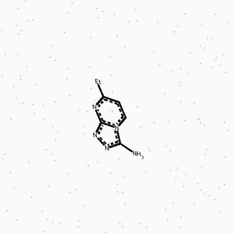 CCc1ccn2c(N)nnc2n1